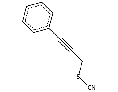 N#CSCC#Cc1ccccc1